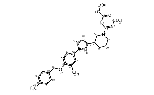 CC(C)(C)OC(=O)N/C(=N\C(=O)O)N1CCC[C@@H](c2nc(-c3ccc(OCc4ccc(C(F)(F)F)cc4)c(C(F)(F)F)c3)no2)C1